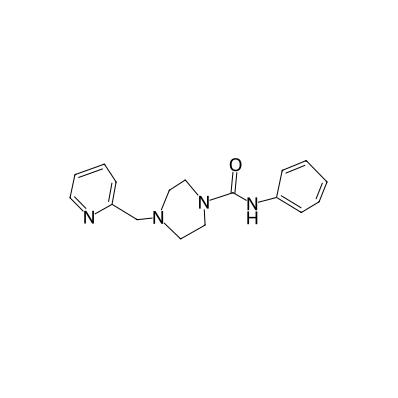 O=C(Nc1ccccc1)N1CCN(Cc2ccccn2)CC1